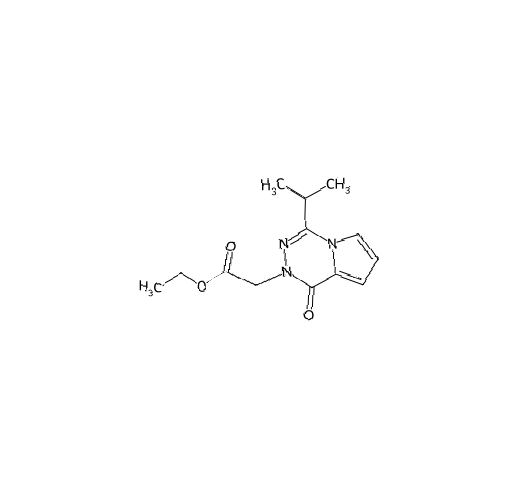 CCOC(=O)Cn1nc(C(C)C)n2cccc2c1=O